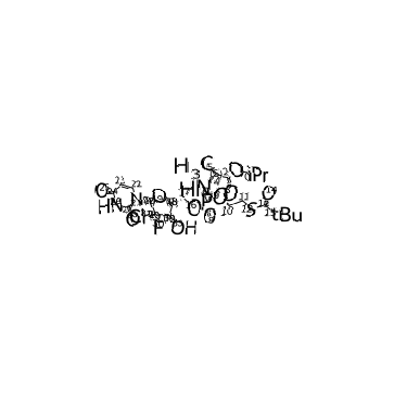 CC(C)OC(=O)[C@H](C)NP(=O)(OCCSC(=O)C(C)(C)C)OC[C@H]1O[C@@H](n2ccc(=O)[nH]c2=O)[C@](F)(Cl)[C@@H]1O